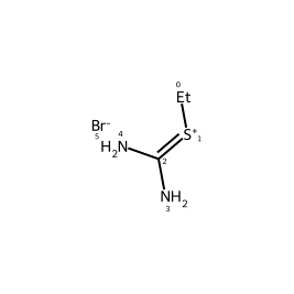 CC[S+]=C(N)N.[Br-]